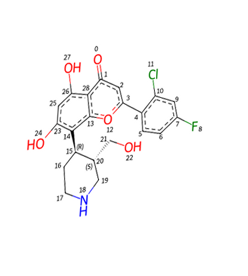 O=c1cc(-c2ccc(F)cc2Cl)oc2c([C@@H]3CCNC[C@H]3CO)c(O)cc(O)c12